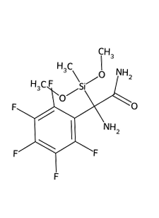 CO[Si](C)(OC)C(N)(C(N)=O)c1c(F)c(F)c(F)c(F)c1F